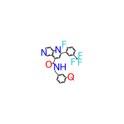 COc1cccc(CNC(=O)c2cc(-c3cc(C(F)(F)F)ccc3F)nc3ccncc23)c1